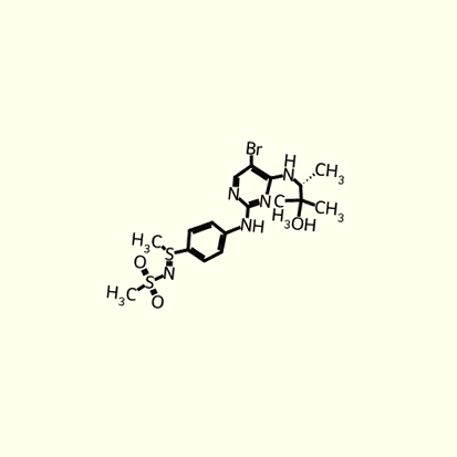 C[C@@H](Nc1nc(Nc2ccc(/S(C)=N/S(C)(=O)=O)cc2)ncc1Br)C(C)(C)O